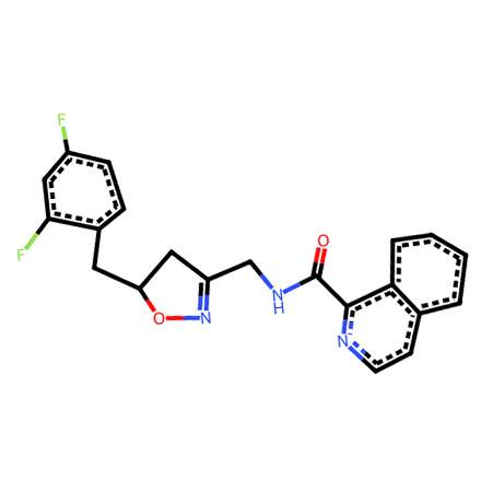 O=C(NCC1=NOC(Cc2ccc(F)cc2F)C1)c1nccc2ccccc12